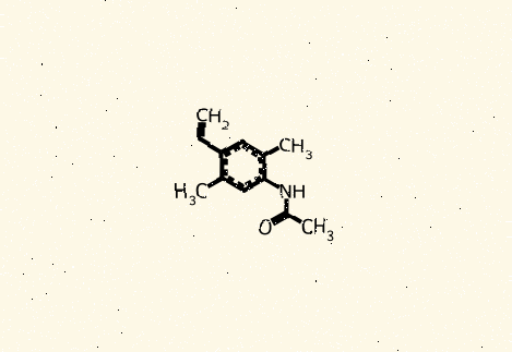 C=Cc1cc(C)c(NC(C)=O)cc1C